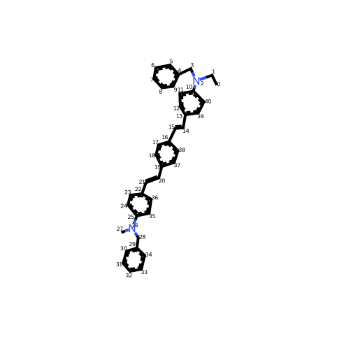 CCN(Cc1ccccc1)c1ccc(C=Cc2ccc(C=Cc3ccc(N(C)Cc4ccccc4)cc3)cc2)cc1